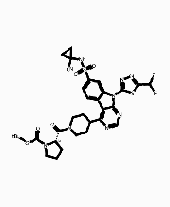 CC(C)(C)OC(=O)N1CCC[C@H]1C(=O)N1CCC(c2ncnc3c2c2ccc(S(=O)(=O)NC4(C#N)CC4)cc2n3-c2nnc(C(F)F)s2)CC1